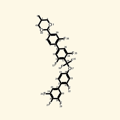 CC1COC(c2ccc(-c3cc(F)c(C(F)(F)Oc4ccc(-c5cc(F)c(F)c(F)c5)c(F)c4)c(F)c3)c(F)c2)OC1